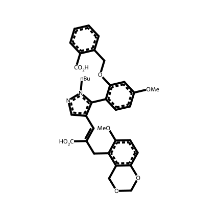 CCCCn1ncc(C=C(Cc2c(OC)ccc3c2COCO3)C(=O)O)c1-c1ccc(OC)cc1OCc1ccccc1C(=O)O